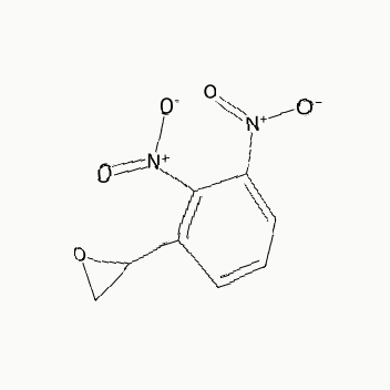 O=[N+]([O-])c1cccc(C2CO2)c1[N+](=O)[O-]